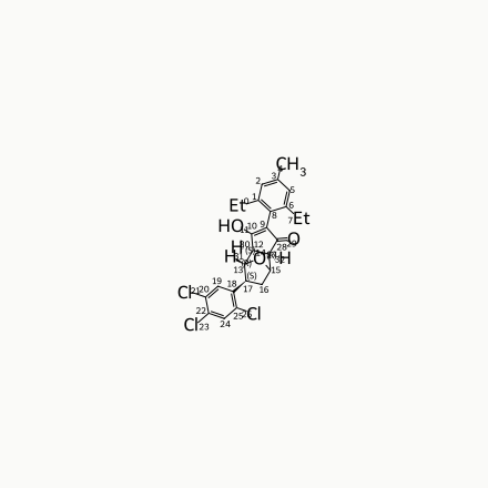 CCc1cc(C)cc(CC)c1C1=C(O)[C@@H]2[C@@H]3OC(C[C@H]3c3cc(Cl)c(Cl)cc3Cl)[C@@H]2C1=O